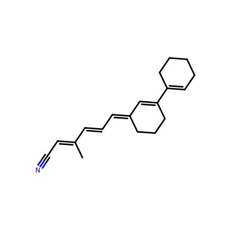 CC(/C=C/C=C1/C=C(C2=CCCCC2)CCC1)=C\C#N